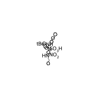 CC(C)(C)OC(=O)N[C@@H](Cc1ccc(OCc2ccccc2)cc1)C(=O)N(c1ccc(NCCCc2ccccc2)c([N+](=O)[O-])c1)S(=O)(=O)O